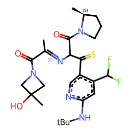 C/C(=N\C(C(=O)N1CCC[C@@H]1C)C(=S)c1cnc(NC(C)(C)C)cc1C(F)F)C(=O)N1CC(C)(O)C1